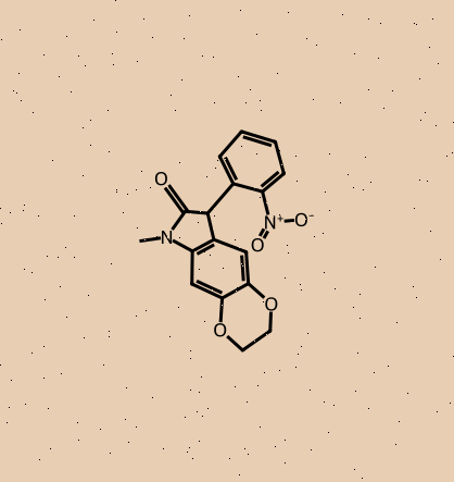 CN1C(=O)C(c2ccccc2[N+](=O)[O-])c2cc3c(cc21)OCCO3